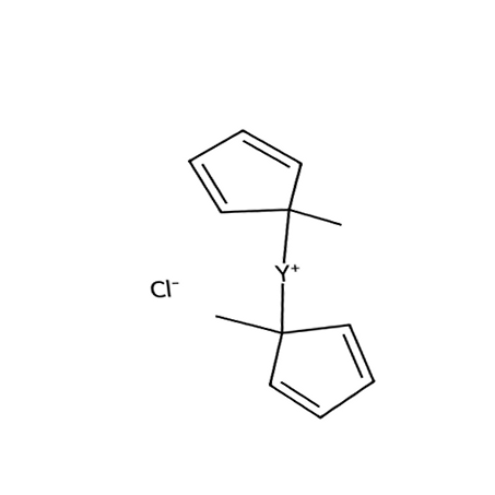 C[C]1([Y+][C]2(C)C=CC=C2)C=CC=C1.[Cl-]